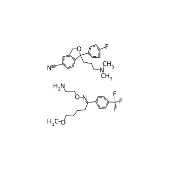 CN(C)CCCC1(c2ccc(F)cc2)OCc2cc(C#N)ccc21.COCCCC/C(=N\OCCN)c1ccc(C(F)(F)F)cc1